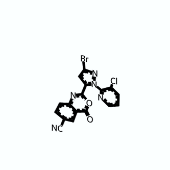 N#Cc1ccc2nc(-c3cc(Br)nn3-c3ncccc3Cl)oc(=O)c2c1